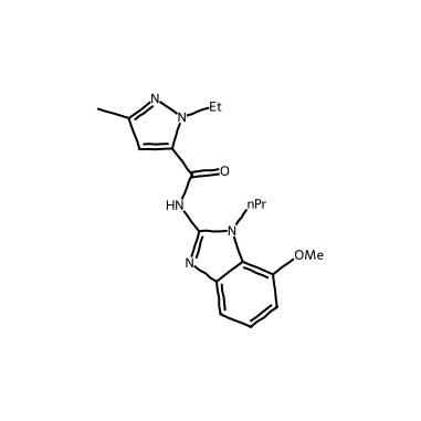 CCCn1c(NC(=O)c2cc(C)nn2CC)nc2cccc(OC)c21